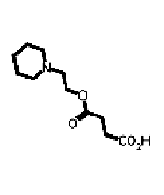 O=C(O)CCC(=O)OCCN1CCCCC1